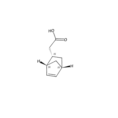 O=C(O)C[C@@H]1C[C@@H]2C=C[C@H]1C2